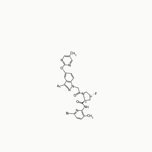 CC(=O)c1nn(CC(=O)N2C[C@H](F)C[C@H]2C(=O)Nc2nc(Br)ccc2C)c2ccc(Oc3ncc(C)cn3)cc12